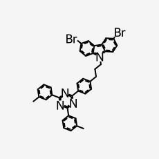 Cc1cccc(-c2nc(-c3ccc(CCCn4c5ccc(Br)cc5c5cc(Br)ccc54)cc3)nc(-c3cccc(C)c3)n2)c1